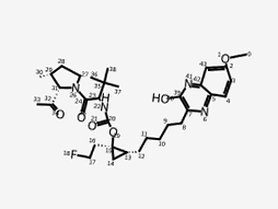 COc1ccc2nc(CCCCC[C@@H]3C[C@@]3(CCF)OC(=O)N[C@H](C(=O)N3CC[C@@H](C)[C@H]3C(C)=O)C(C)(C)C)c(O)nc2c1